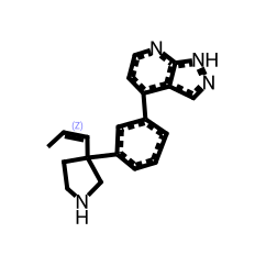 C/C=C\C1(c2cccc(-c3ccnc4[nH]ncc34)c2)CCNC1